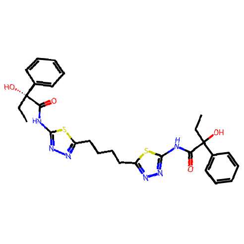 CCC(O)(C(=O)Nc1nnc(CCCCc2nnc(NC(=O)[C@@](O)(CC)c3ccccc3)s2)s1)c1ccccc1